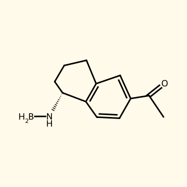 BN[C@@H]1CCCc2cc(C(C)=O)ccc21